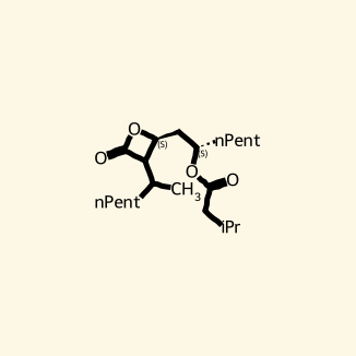 CCCCCC(C)C1C(=O)O[C@H]1C[C@H](CCCCC)OC(=O)CC(C)C